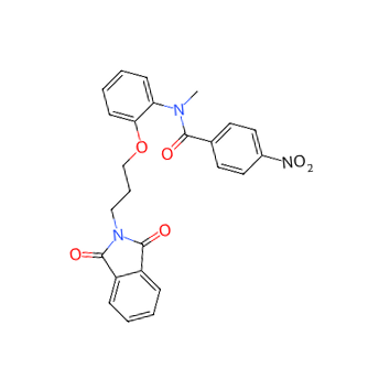 CN(C(=O)c1ccc([N+](=O)[O-])cc1)c1ccccc1OCCCN1C(=O)c2ccccc2C1=O